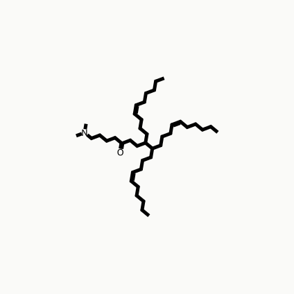 CCCCC/C=C\CCCC(CCC/C=C\CCCCC)C(CCC/C=C\CCCCC)CCC(=O)CCCCN(C)C